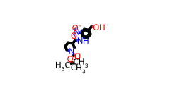 CC(C)(C)OC(=O)N1CCCC(CNc2ccc(CO)cc2[N+](=O)[O-])C1